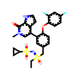 CCS(=O)(Cc1ccc(Oc2ccc(F)cc2F)c(-c2cn(C)c(=O)c3[nH]ccc23)c1)=NS(=O)(=O)C1CC1